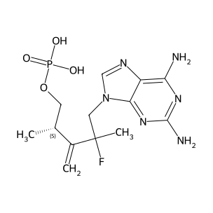 C=C([C@H](C)COP(=O)(O)O)C(C)(F)Cn1cnc2c(N)nc(N)nc21